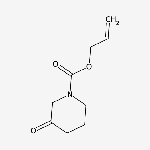 C=CCOC(=O)N1CCCC(=O)C1